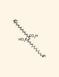 CC(C)CCCCCCCCCCCCCC(CC(CCCCCCCCCCCCCC(C)C)C(=O)O)C(=O)O